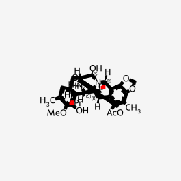 CCCN[C@H]1CS[C@@H]2c3c(OC(C)=O)c(C)c4c(c3[C@H](COC1=O)N1C2[C@H]2N[C@H](Cc3cc(C)c(OC)c(O)c32)[C@@H]1O)OCO4